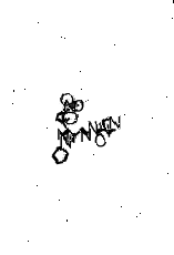 O=C(NN=Cc1cn(-c2ccccc2)nc1-c1ccc([N+](=O)[O-])o1)c1ccncc1